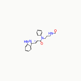 O=CNCCCN(C(=O)/C=C/c1n[nH]c2ccccc12)c1ccccc1